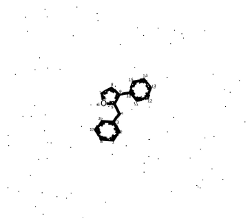 c1ccc(Cc2occc2-c2ccccc2)cc1